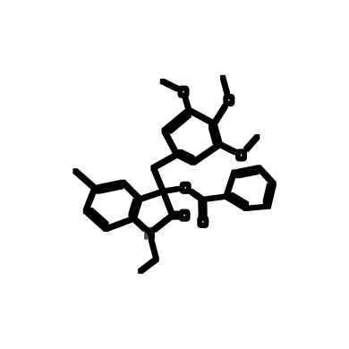 CCN1C(=O)C(Cc2cc(OC)c(OC)c(OC)c2)(OC(=O)c2ccccc2)c2cc(C)ccc21